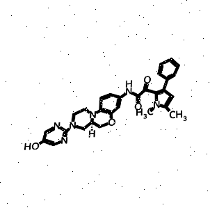 Cc1cc(-c2ccccc2)c(C(=O)C(=O)Nc2ccc3c(c2)OC[C@H]2CN(c4ncc(O)cn4)CCN32)n1C